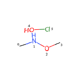 CNOC.OCl